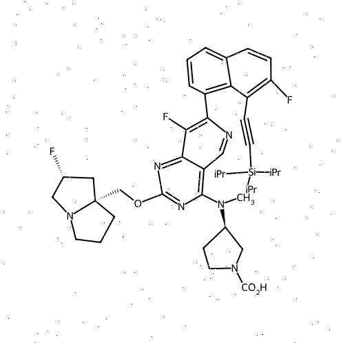 CC(C)[Si](C#Cc1c(F)ccc2cccc(-c3ncc4c(N(C)[C@@H]5CCN(C(=O)O)C5)nc(OC[C@]56CCCN5C[C@H](F)C6)nc4c3F)c12)(C(C)C)C(C)C